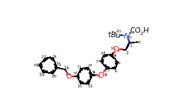 CC(COc1ccc(Oc2ccc(OCc3ccccc3)cc2)cc1)N(C(=O)O)C(C)(C)C